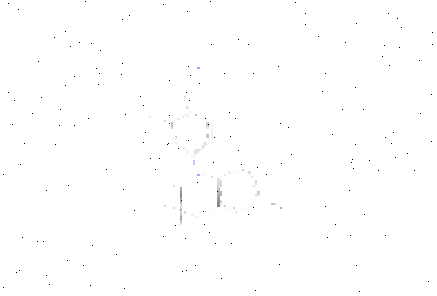 CC1(C)Oc2cc([N+](=O)[O-])ccc2N(c2ccc(CN)c(Cl)c2)C1C=O